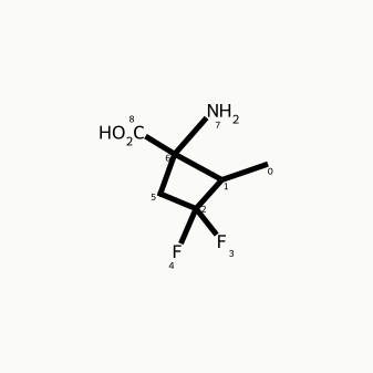 CC1C(F)(F)CC1(N)C(=O)O